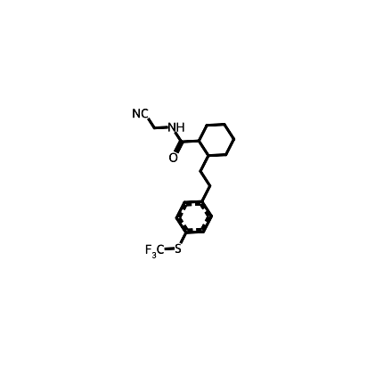 N#CCNC(=O)C1CCCCC1CCc1ccc(SC(F)(F)F)cc1